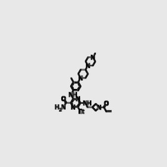 C=CC(=O)N1CC(CNc2nc(Nc3ccc(N4CCC(N5CCN(C)CC5)CC4)c(C)c3)c(C(N)=O)nc2CC)C1